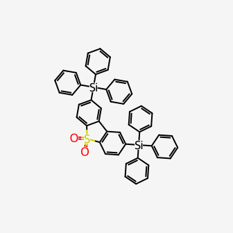 O=S1(=O)c2ccc([Si](c3ccccc3)(c3ccccc3)c3ccccc3)cc2-c2cc([Si](c3ccccc3)(c3ccccc3)c3ccccc3)ccc21